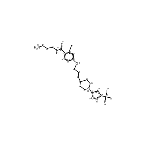 Cc1cc(OCCCC2CCN(c3nc(C(C)(F)F)no3)CC2)ccc1C(=O)NCCCN